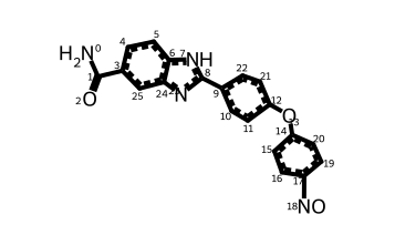 NC(=O)c1ccc2[nH]c(-c3ccc(Oc4ccc(N=O)cc4)cc3)nc2c1